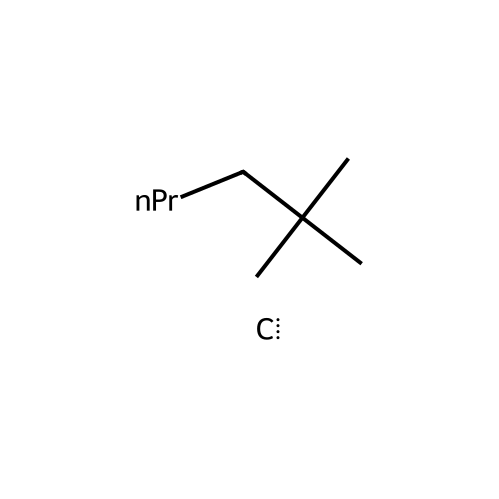 CCCCC(C)(C)C.[C]